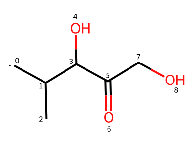 [CH2]C(C)C(O)C(=O)CO